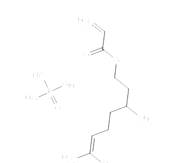 C=CC(=O)OCCC(C)CCC=C(C)C.O=P(O)(O)O